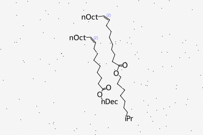 CCCCCCCC/C=C\CCCCCCCC(=O)OCCCCCCCC(C)C.CCCCCCCC/C=C\CCCCCCCC(=O)OCCCCCCCCCC